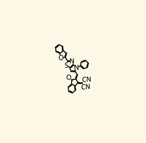 N#CC(C#N)=C1/C(=C/c2cc3sc(-c4cc5ccccc5o4)nc3n2-c2ccccc2)C(=O)c2ccccc21